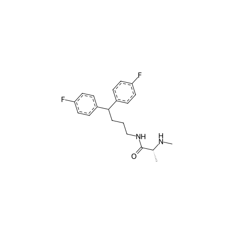 CN[C@H](C)C(=O)NCCCC(c1ccc(F)cc1)c1ccc(F)cc1